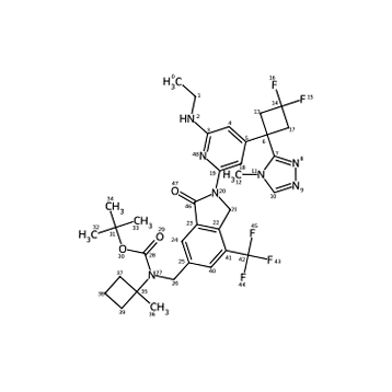 CCNc1cc(C2(c3nncn3C)CC(F)(F)C2)cc(N2Cc3c(cc(CN(C(=O)OC(C)(C)C)C4(C)CCC4)cc3C(F)(F)F)C2=O)n1